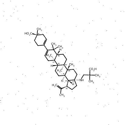 C=C(C)[C@@H]1CC[C@]2(NCC(C)(C)C(=O)O)CC[C@]3(C)[C@H](CC[C@@H]4[C@@]5(C)CC=C(C6=CC[C@](C)(C(=O)O)CC6)C(C)(C)[C@@H]5CC[C@]43C)[C@@H]12